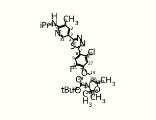 Cc1cc(-c2nnc(-c3cc(F)c(OC[C@@H]4[C@@H](C)OC(C)(C)N4C(=O)OC(C)(C)C)cc3Cl)s2)cnc1NC(C)C